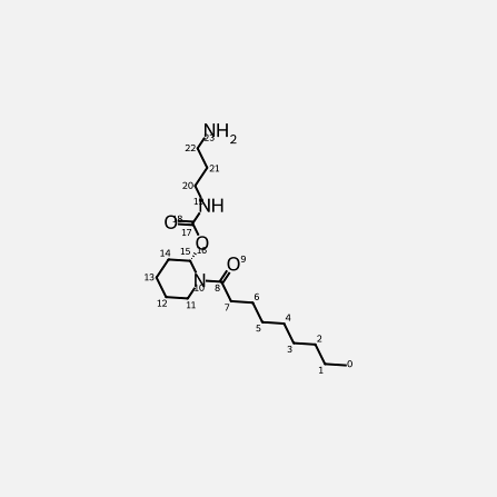 CCCCCCCCC(=O)N1CCCC[C@@H]1OC(=O)NCCCN